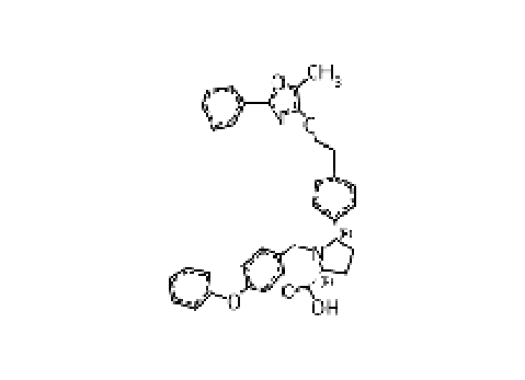 Cc1oc(-c2ccccc2)nc1CCCc1ccc([C@H]2CC[C@H](C(=O)O)N2Cc2ccc(Oc3ccccc3)cc2)cc1